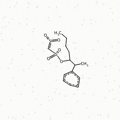 CCCCC(OS(=O)(=O)C=S(=O)=O)C(C)c1ccccc1